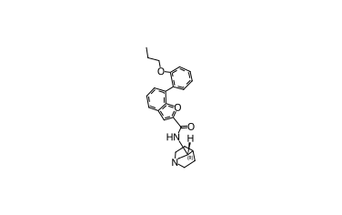 CCCOc1ccccc1-c1cccc2cc(C(=O)N[C@H]3CN4CCC3CC4)oc12